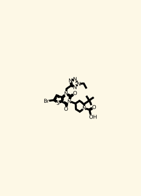 CCn1nnc(Cn2c(=O)n(C3CCN(C(=O)O)C(C(C)(C)C)C3)c(=O)c3sc(Br)cc32)n1